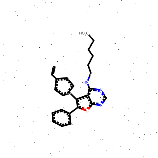 C=Cc1ccc(-c2c(-c3ccccc3)oc3ncnc(NCCCCCC(=O)O)c23)cc1